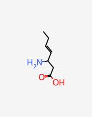 CCC=CC(N)CC(=O)O